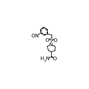 NC(=O)C1CCN(S(=O)(=O)Cc2cccc(N=O)c2)CC1